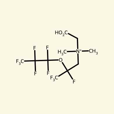 C[N+](C)(CC(=O)O)CC(F)(OC(F)(F)C(F)(F)C(F)(F)F)C(F)(F)F